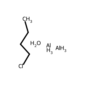 CCCCCl.O.[AlH3].[AlH3]